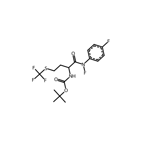 CC(C)(C)OC(=O)NC(CCSC(F)(F)F)C(=O)N(F)c1ccc(F)cc1